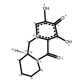 O=C1c2c(O)c(=O)c(O)cn2C[C@@H]2CCCCN12